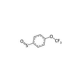 O=[S+]c1ccc(OC(F)(F)F)cc1